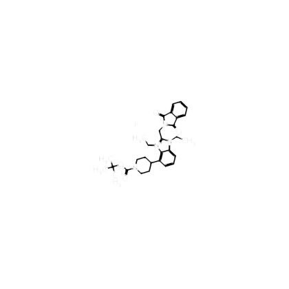 CCn1c(CN2C(=O)c3ccccc3C2=O)[n+](CC)c2c(C3CCN(C(=O)OC(C)(C)C)CC3)cccc21.[I-]